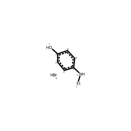 Br.CCNc1ccc(O)cc1